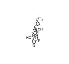 C[C@]12C=CC(=O)C=C1[C@@H](F)C[C@H]1[C@@H]3C[C@H]4CN(Cc5cccc(OC(F)(F)F)c5)C[C@@]4(C(=O)CO)[C@@]3(C)C[C@H](O)[C@@]12F